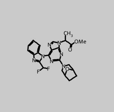 COC(=O)C(C)n1cnc2c(-n3c(C(F)F)nc4ccccc43)nc(N3CC4CCC(C3)O4)nc21